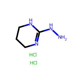 Cl.Cl.NNC1=NCCCN1